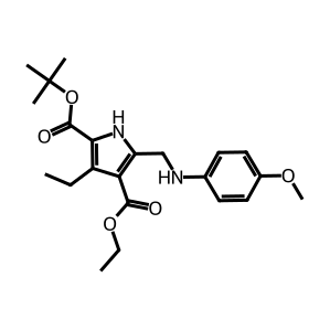 CCOC(=O)c1c(CNc2ccc(OC)cc2)[nH]c(C(=O)OC(C)(C)C)c1CC